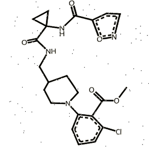 COC(=O)c1c(Cl)cccc1N1CCC(CNC(=O)C2(NC(=O)c3ccno3)CC2)CC1